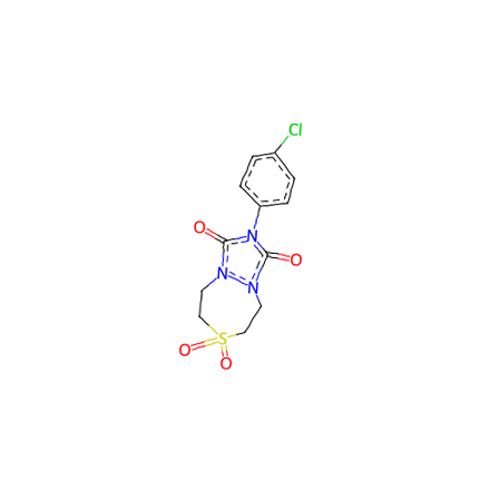 O=c1n(-c2ccc(Cl)cc2)c(=O)n2n1CCS(=O)(=O)CC2